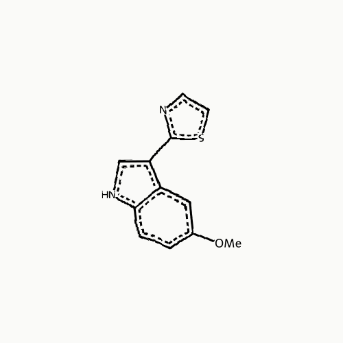 COc1ccc2[nH]cc(-c3nccs3)c2c1